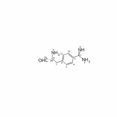 N=C(N)c1ccc(C[C@@H](N)[C]=O)cc1